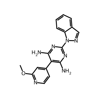 COc1cc(-c2c(N)nc(-n3ncc4ccccc43)nc2N)ccn1